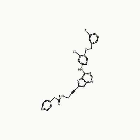 O=C(Cc1ccncc1)NCC#Cc1cc2ncnc(Nc3ccc(OCc4cccc(F)c4)c(Cl)c3)c2s1